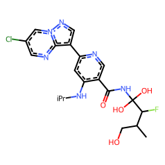 CC(C)Nc1cc(-c2cnn3cc(Cl)cnc23)ncc1C(=O)NC(O)(O)C(F)C(C)CO